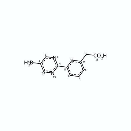 Bc1cnc(-c2cccc(CC(=O)O)c2)nc1